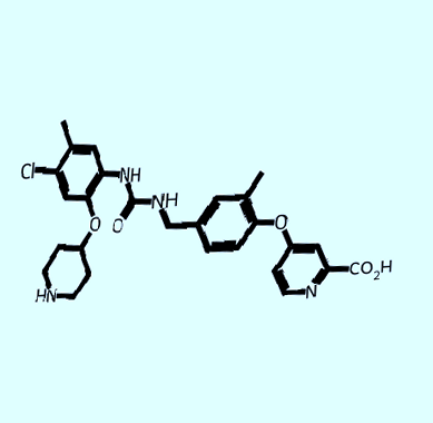 Cc1cc(NC(=O)NCc2ccc(Oc3ccnc(C(=O)O)c3)c(C)c2)c(OC2CCNCC2)cc1Cl